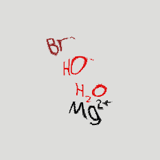 O.[Br-].[Mg+2].[OH-]